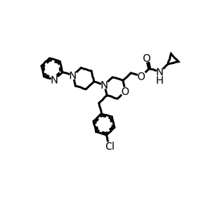 O=C(NC1CC1)OCC1CN(C2CCN(c3ccccn3)CC2)C(Cc2ccc(Cl)cc2)CO1